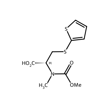 COC(=O)N(C)[C@@H](CSc1cccs1)C(=O)O